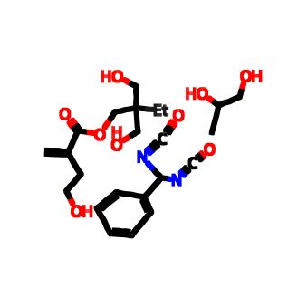 C=C(CCO)C(=O)OCC(CC)(CO)CO.CC(O)CO.O=C=NC(N=C=O)c1ccccc1